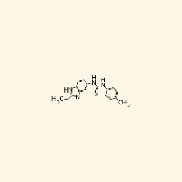 CCc1nc2cc(NC(=S)Nc3ccc(C)cc3)ccc2[nH]1